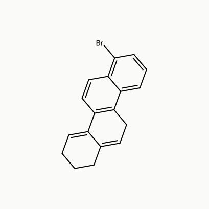 Brc1cccc2c3c(ccc12)C1=CCCCC1=CC3